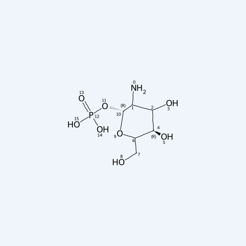 NC1C(O)[C@@H](O)C(CO)O[C@@H]1OP(=O)(O)O